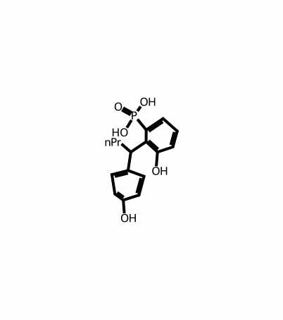 CCCC(c1ccc(O)cc1)c1c(O)cccc1P(=O)(O)O